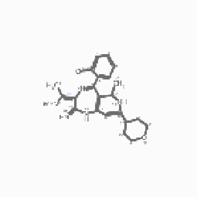 CN/C(C)=C1/N=C(c2ccccc2Cl)C2=C(C=C(C3CCOCC3)NC2C)NC1=N